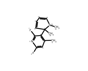 Cc1cc(F)nc(F)c1C1(C)C=CC=CN1C